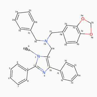 CCCCn1c(-c2ccccc2)nc(-c2ccccc2)c1CN(Cc1ccccc1)Cc1ccc2c(c1)OCO2